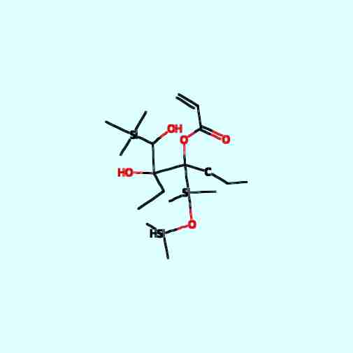 C=CC(=O)OC(CCC)(C(O)(CC)C(O)[Si](C)(C)C)[Si](C)(C)O[SiH](C)C